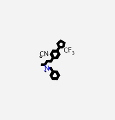 CC#N.CC(CCc1ccc(C2CCCC2C(F)(F)F)cc1)N(C)Cc1ccccc1